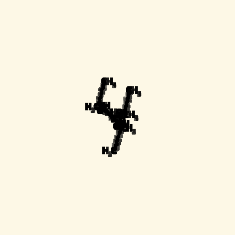 CCCCCCCCCCCC(C)NC(=O)CCNCCCN(CCC(=O)NC(C)CCCCCCCCCCC)CCC(=O)NC(C)CCCCCCCCCCC